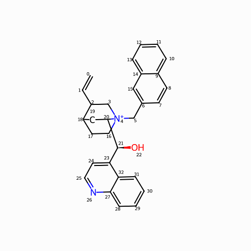 C=CC1C[N+]2(Cc3ccc4ccccc4c3)CCC1CC2[C@@H](O)c1ccnc2ccccc12